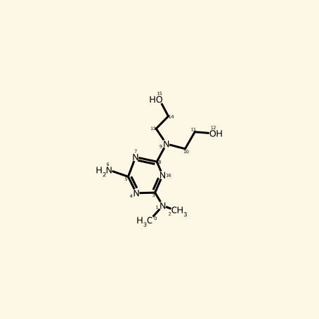 CN(C)c1nc(N)nc(N(CCO)CCO)n1